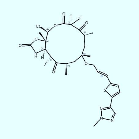 CC[C@H]1OC(=O)[C@@](C)(F)C(=O)[C@H](C)[C][C@](C)(OC/C=C/c2ccc(-c3nnn(C)n3)s2)C[C@@H](C)C(=O)[C@H](C)[C@H]2NC(=O)O[C@@]21C